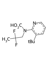 CC(F)(F)CN(C(=O)O)c1ncccc1C(C)(C)C